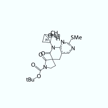 CSc1ncc2c(n1)N(C13CC([C@H]1C)[C@H]3C)C(=O)C1(CCN(C(=O)OC(C)(C)C)C1=O)C2